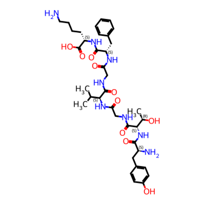 CC(C)[C@H](NC(=O)CNC(=O)[C@@H](NC(=O)[C@@H](N)Cc1ccc(O)cc1)[C@@H](C)O)C(=O)NCC(=O)N[C@@H](Cc1ccccc1)C(=O)N[C@@H](CCCCN)C(=O)O